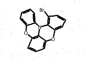 Brc1cccc2c1N1c3ccccc3Oc3cccc(c31)O2